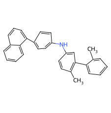 Cc1ccccc1-c1cc(Nc2ccc(-c3cccc4ccccc34)cc2)ccc1C